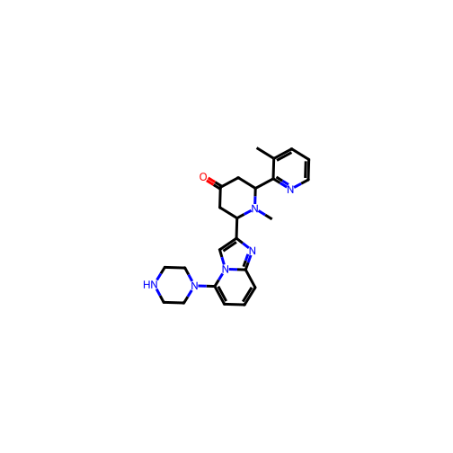 Cc1cccnc1C1CC(=O)CC(c2cn3c(N4CCNCC4)cccc3n2)N1C